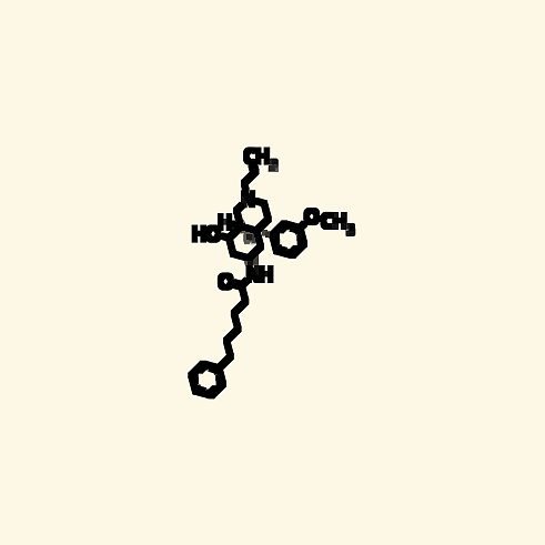 C=CCN1CC[C@@]2(c3cccc(OC)c3)C[C@H](NC(=O)CCCCCc3ccccc3)CC(O)[C@@H]2C1